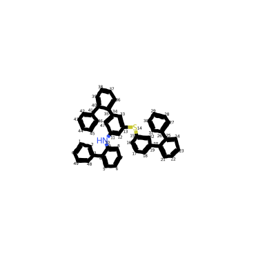 c1ccc(-c2ccccc2Nc2cc(Sc3cccc(-c4ccccc4-c4ccccc4)c3)cc(-c3ccccc3-c3ccccc3)c2)cc1